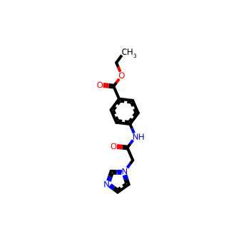 CCOC(=O)c1ccc(NC(=O)Cn2ccnc2)cc1